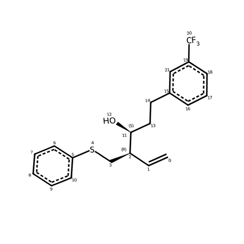 C=C[C@@H](CSc1ccccc1)[C@@H](O)CCc1cccc(C(F)(F)F)c1